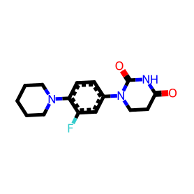 O=C1CCN(c2ccc(N3CCCCC3)c(F)c2)C(=O)N1